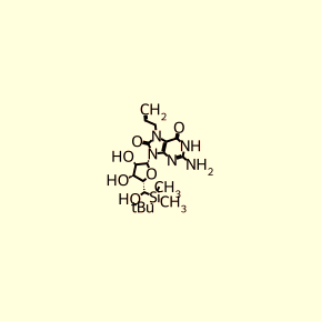 C=CCn1c(=O)n([C@@H]2O[C@H](C(O)[Si](C)(C)C(C)(C)C)[C@@H](O)[C@H]2O)c2nc(N)[nH]c(=O)c21